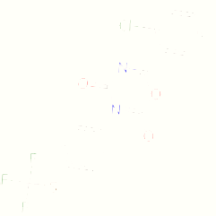 O=c1nc(-c2ccccc2Cl)oc(=O)n1-c1ccc(SC(F)(F)F)cc1